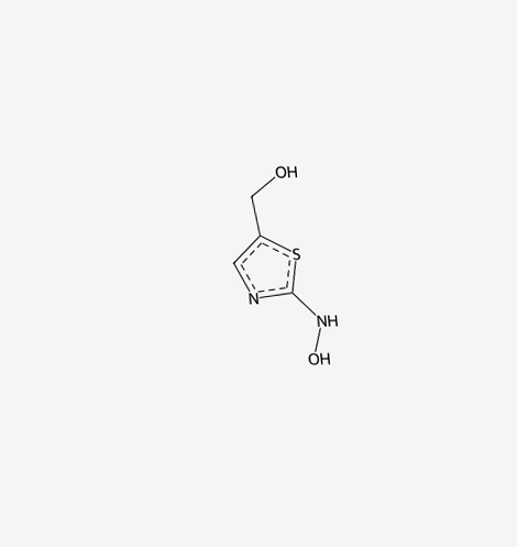 OCc1cnc(NO)s1